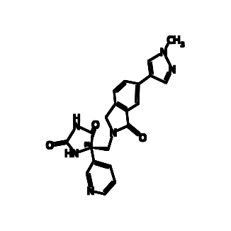 Cn1cc(-c2ccc3c(c2)C(=O)N(C[C@@]2(c4cccnc4)NC(=O)NC2=O)C3)cn1